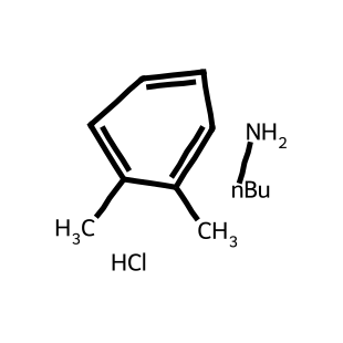 CCCCN.Cc1ccccc1C.Cl